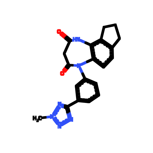 Cn1nnc(-c2cccc(N3C(=O)CC(=O)Nc4c3ccc3c4CCC3)c2)n1